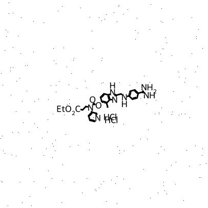 CCOC(=O)CCN(C(=O)Oc1ccc2[nH]c(CNc3ccc(C(=N)N)cc3)nc2c1C)c1cccnc1.Cl.Cl